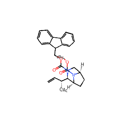 C=C[C@@H](OC(C)=O)[C@@H]1[C@@H]2CC[C@H](CN1C(=O)OCC1c3ccccc3-c3ccccc31)N2C(=O)OC(C)(C)C